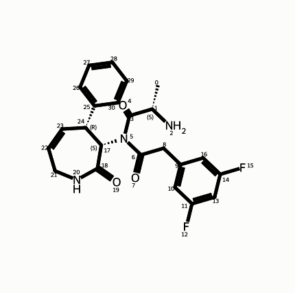 C[C@H](N)C(=O)N(C(=O)Cc1cc(F)cc(F)c1)[C@@H]1C(=O)NCC=C[C@@H]1c1ccccc1